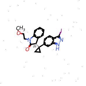 COCCN1C(=O)[C@@H](C2(c3ccc4c(I)n[nH]c4c3)CC2)c2ccccc21